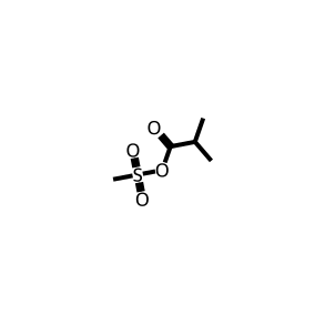 CC(C)C(=O)OS(C)(=O)=O